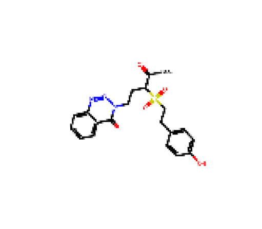 COC(=O)C(CCn1nnc2ccccc2c1=O)S(=O)(=O)CCc1ccc(O)cc1